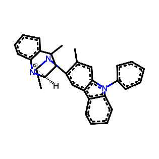 Cc1cc2c(cc1N1[C@@H](C)N3CCC1(C)c1ccccc13)c1ccccc1n2-c1ccccc1